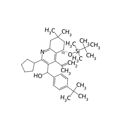 C=C(C)c1c(C(O)c2ccc(C(C)(C)C)cc2)c(C2CCCC2)nc2c1[C@@H](O[Si](C)(C)C(C)(C)C)CC(C)(C)C2